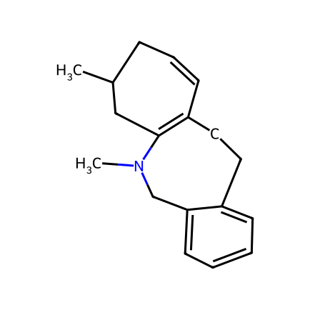 CC1CC=CC2=C(C1)N(C)Cc1ccccc1CC2